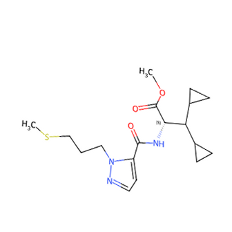 COC(=O)[C@@H](NC(=O)c1ccnn1CCCSC)C(C1CC1)C1CC1